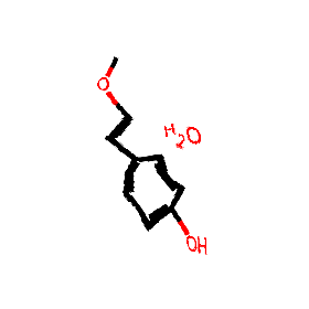 COCCc1ccc(O)cc1.O